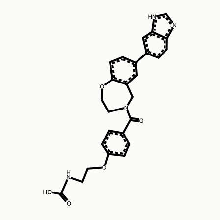 O=C(O)NCCOc1ccc(C(=O)N2CCOc3ccc(-c4ccc5nc[nH]c5c4)cc3C2)cc1